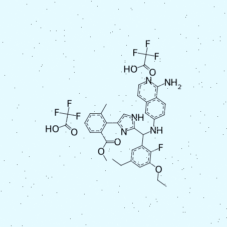 CCOc1cc(CC)cc(C(Nc2ccc3c(N)nccc3c2)c2nc(-c3c(C)cccc3C(=O)OC)c[nH]2)c1F.O=C(O)C(F)(F)F.O=C(O)C(F)(F)F